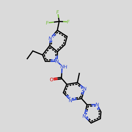 CCc1cn(NC(=O)c2cnc(-c3ncccn3)nc2C)c2ccc(C(F)(F)F)nc12